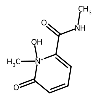 CNC(=O)C1=CC=CC(=O)[N+]1(C)O